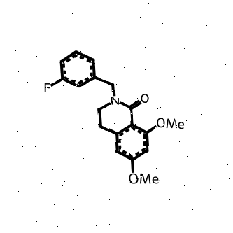 COc1cc2c(c(OC)c1)C(=O)N(Cc1cccc(F)c1)CC2